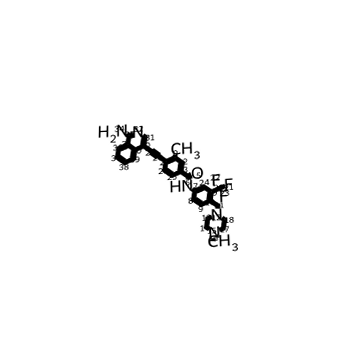 Cc1cc(C(=O)Nc2ccc(CN3CCN(C)CC3)c(C(F)(F)F)c2)ccc1C#Cc1cnc(N)c2ccccc12